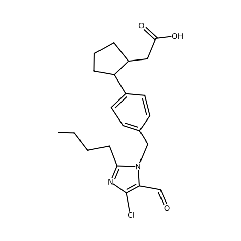 CCCCc1nc(Cl)c(C=O)n1Cc1ccc(C2CCCC2CC(=O)O)cc1